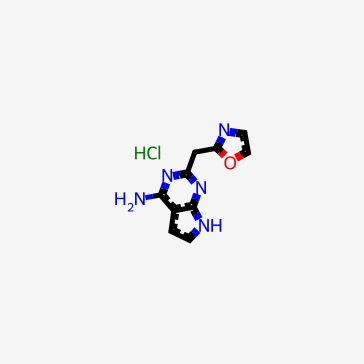 Cl.Nc1nc(Cc2ncco2)nc2[nH]ccc12